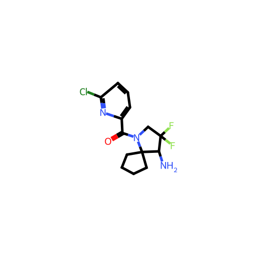 NC1C(F)(F)CN(C(=O)c2cccc(Cl)n2)C12CCCC2